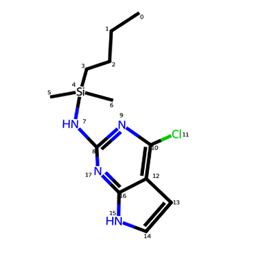 CCCC[Si](C)(C)Nc1nc(Cl)c2cc[nH]c2n1